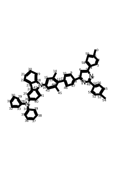 Cc1ccc(-c2cc(-c3ccc(-c4c(C)cc(-n5c6ccccc6c6cc(N(c7ccccc7)c7ccccc7)ccc65)cc4C)cc3)nc(-c3ccc(C)cc3)n2)cc1